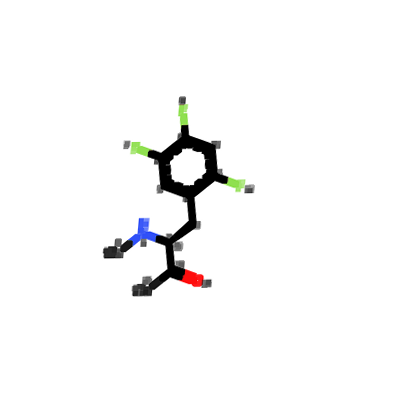 CC(C)(C)N[C@@H](Cc1cc(F)c(F)cc1F)C(=O)C(C)(C)C